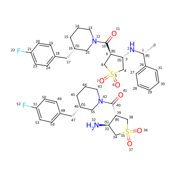 C[C@@H](N[C@@H]1CS(=O)(=O)C[C@H]1C(=O)N1CCC[C@@H](Cc2ccc(F)cc2)C1)c1ccccc1.N[C@@H]1CS(=O)(=O)C[C@H]1C(=O)N1CCC[C@@H](Cc2ccc(F)cc2)C1